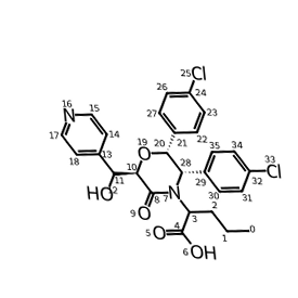 CCCC(C(=O)O)N1C(=O)[C@@H](C(O)c2ccncc2)O[C@H](c2ccc(Cl)cc2)[C@@H]1c1ccc(Cl)cc1